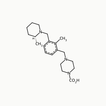 Cc1c(CN2CCN(C(=O)O)CC2)cccc1CN1CCCC[C@H]1C